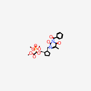 COC(=O)C(OC[C@@H]1CCC[C@@H]1Cn1cc(C)c(=O)n(C(=O)c2ccccc2)c1=O)P(=O)(OC)OC